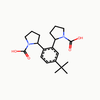 CC(C)(C)c1ccc(C2CCCN2C(=O)O)c(C2CCCN2C(=O)O)c1